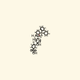 CC(C)(SC(c1ccccc1)(c1ccccc1)c1ccccc1)[C@H](N)C(=O)N[C@@H](Cc1ccc(S(=O)(=O)O)cc1)C(=O)O